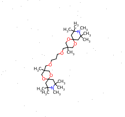 CN1C(C)(C)CC2(CC1(C)C)OCC(C)(COCCCOCC1(C)COC3(CC(C)(C)N(C)C(C)(C)C3)OC1)CO2